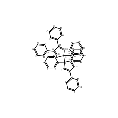 c1ccc(C2=NC(c3ccccc3)(C3(c4ccccc4)N=C(c4ccccc4)C(c4ccccc4)=N3)C(c3ccccc3)=N2)cc1